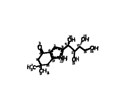 CC1(C)CC(=O)c2cc([C@@H](O)[C@H](O)[C@H](O)CO)[nH]c2C1